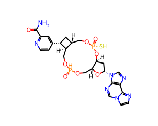 NC(=O)c1cc([C@@H]2C[C@@H]3CO[P@](=O)(S)O[C@H]4C[C@H](n5cnc6c5ncn5ccnc65)O[C@@H]4CO[PH](=O)OC[C@H]32)ccn1